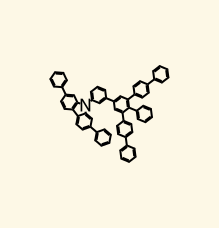 c1ccc(-c2ccc(-c3cc(-c4cccc(-n5c6cc(-c7ccccc7)ccc6c6ccc(-c7ccccc7)cc65)c4)cc(-c4ccc(-c5ccccc5)cc4)c3-c3ccccc3)cc2)cc1